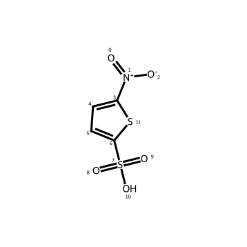 O=[N+]([O-])c1ccc(S(=O)(=O)O)s1